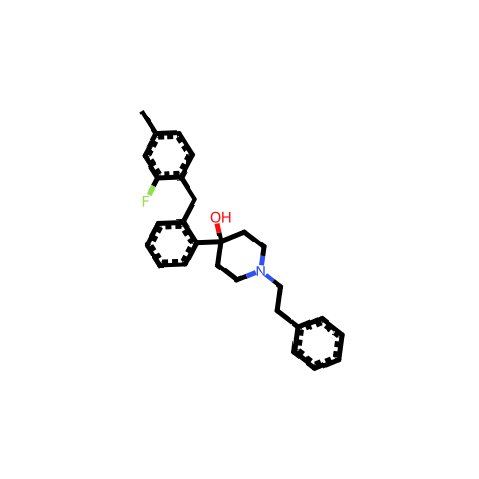 Cc1ccc(Cc2ccccc2C2(O)CCN(CCc3ccccc3)CC2)c(F)c1